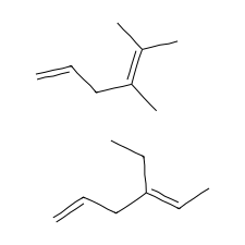 C=CC/C(=C/C)CC.C=CCC(C)=C(C)C